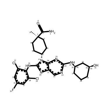 C[C@]1(C(N)=O)CC[C@H](n2c(Nc3c(Cl)cc(F)cc3Cl)nc3cnc(N[C@@H]4CCC[C@H](O)C4)nc32)CC1